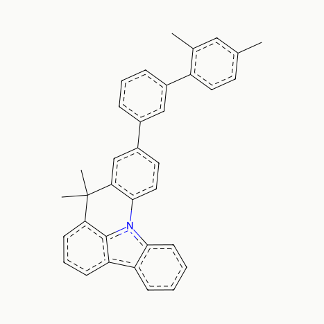 Cc1ccc(-c2cccc(-c3ccc4c(c3)C(C)(C)c3cccc5c6ccccc6n-4c35)c2)c(C)c1